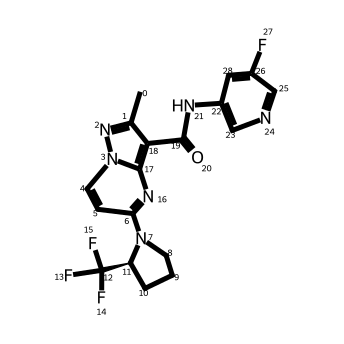 Cc1nn2ccc(N3CCC[C@H]3C(F)(F)F)nc2c1C(=O)Nc1cncc(F)c1